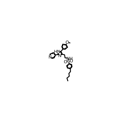 CCCCCc1ccc(S(=O)(=O)NCCc2nc(-c3ccncc3)[nH]c2-c2ccc(OC)cc2)cc1